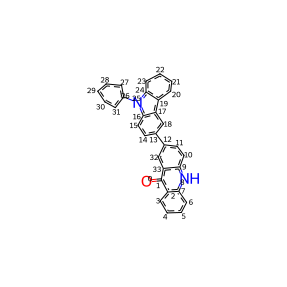 O=c1c2ccccc2[nH]c2ccc(-c3ccc4c(c3)c3ccccc3n4-c3ccccc3)cc12